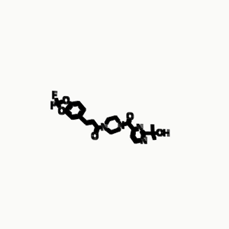 CC(C)(O)c1nccc(C(=O)N2CCN(C(=O)/C=C/c3ccc4c(c3)OC(F)(F)O4)CC2)n1